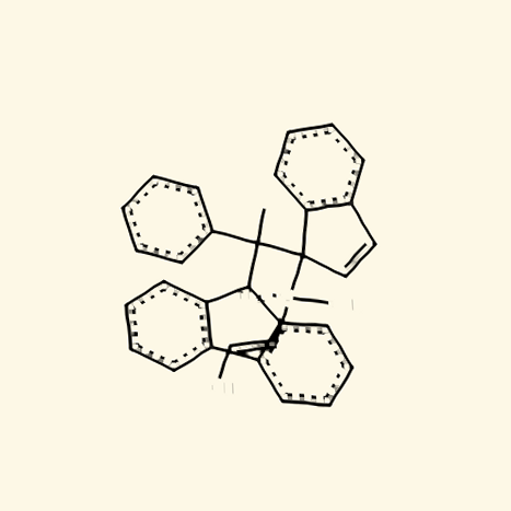 CC=C[Si](C)(C)C1(C(C)(c2ccccc2)C2c3ccccc3-c3ccccc32)C=Cc2ccccc21